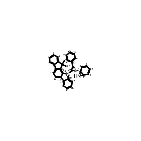 CC1(C)c2ccccc2-c2ccc3c4ccccc4n(C4C(c5ccccc5)[N@@]4C45C=CC=CC4N5)c3c21